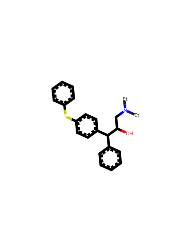 CCN(CC)CC(O)C(c1ccccc1)c1ccc(Sc2ccccc2)cc1